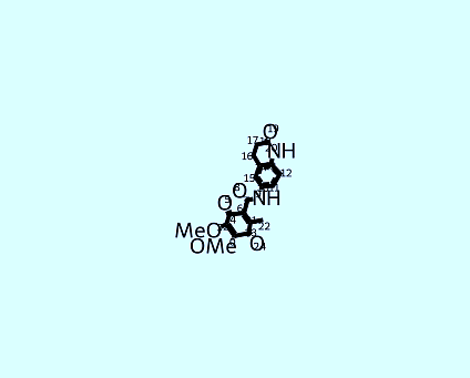 COC1=C(OC)C(=O)C(C(=O)Nc2ccc3c(c2)CCC(=O)N3)=C(C)C1=O